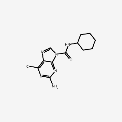 Nc1nc(Cl)c2ncn(C(=O)NC3CCCCC3)c2n1